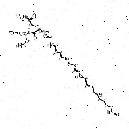 CCNCCCCNCCCCNCCCCNCCCCNCON[C@@H](CCC(N)=O)C(=O)N[C@H](C=O)CC(C)C